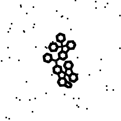 c1ccc(N(c2ccc3c(c2)C(c2ccccc2)(c2ccccc2)c2ccccc2-3)c2ccc3c(c2)C2(c4ccccc4-c4ccccc42)c2c-3ccc3ccccc23)cc1